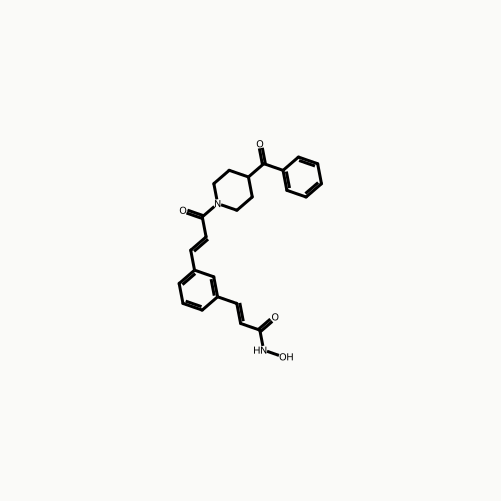 O=C(C=Cc1cccc(C=CC(=O)N2CCC(C(=O)c3ccccc3)CC2)c1)NO